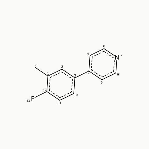 Cc1cc(-c2ccncc2)ccc1F